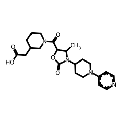 CC1C(C(=O)N2CCCC(CC(=O)O)C2)OC(=O)N1C1CCN(c2ccncc2)CC1